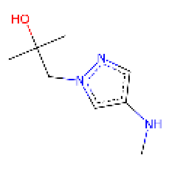 CNc1cnn(CC(C)(C)O)c1